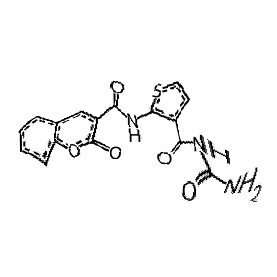 NC(=O)NC(=O)c1ccsc1NC(=O)c1cc2ccccc2oc1=O